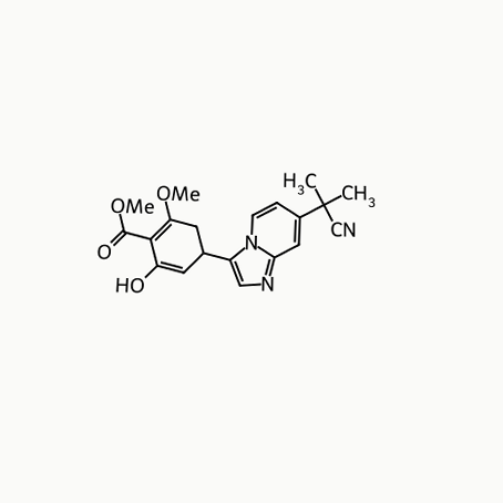 COC(=O)C1=C(OC)CC(c2cnc3cc(C(C)(C)C#N)ccn23)C=C1O